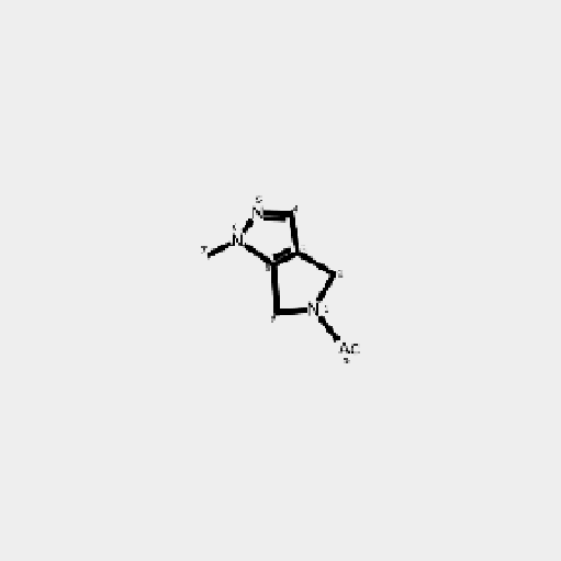 CC(=O)N1Cc2cnn(C)c2C1